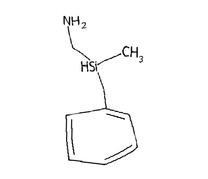 C[SiH](CN)c1ccccc1